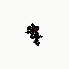 CC(C)(C)c1ccc2c(c1)c1cc(C(C)(C)C)ccc1n2-c1cccc(C#N)c1-c1c(-c2nc(-c3ccccc3)nc(-c3ccccc3)n2)cccc1-n1c2ccc(C(C)(C)C)cc2c2cc(C(C)(C)C)ccc21